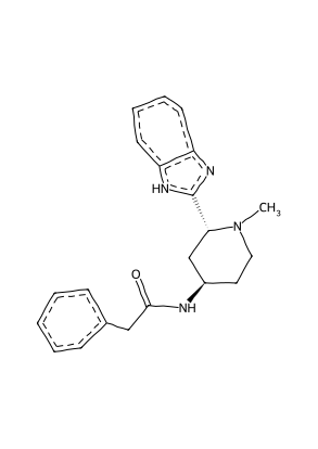 CN1CC[C@@H](NC(=O)Cc2ccccc2)C[C@@H]1c1nc2ccccc2[nH]1